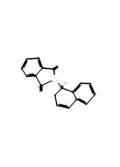 O=C1c2ccccc2C(=O)N1[C@@]1(O)CC=Cc2ccccc21